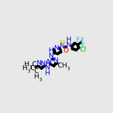 Cc1cc(Nc2cc(C(C)(C)C)n[nH]2)nc(Nc2ccc(N(S)C(=O)Nc3ccc(Cl)c(C(F)(F)F)c3)nc2)n1